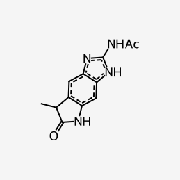 CC(=O)Nc1nc2cc3c(cc2[nH]1)NC(=O)C3C